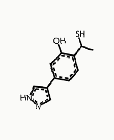 CC(S)c1ccc(-c2cn[nH]c2)cc1O